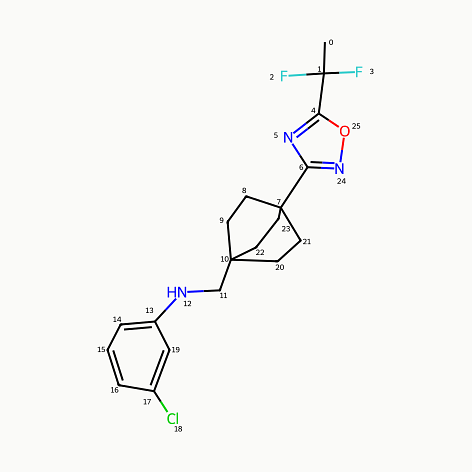 CC(F)(F)c1nc(C23CCC(CNc4cccc(Cl)c4)(CC2)CC3)no1